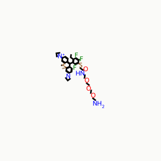 CCc1c(F)c(F)c(SCC(=O)NCCOCCOCCOCCN)c(F)c1C1=C2C=CC(=[N+]3CCC3)C=C2S(C)(C)c2cc(N3CCC3)ccc21